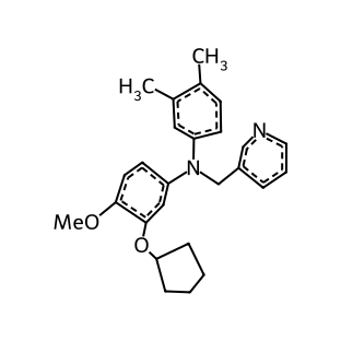 COc1ccc(N(Cc2cccnc2)c2ccc(C)c(C)c2)cc1OC1CCCC1